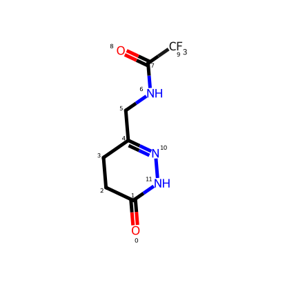 O=C1CCC(CNC(=O)C(F)(F)F)=NN1